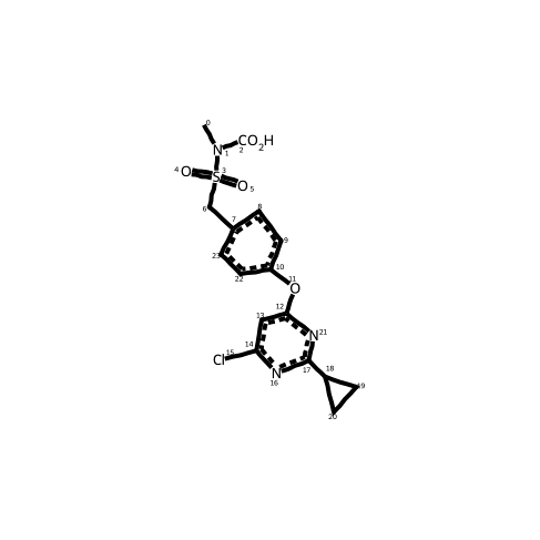 CN(C(=O)O)S(=O)(=O)Cc1ccc(Oc2cc(Cl)nc(C3CC3)n2)cc1